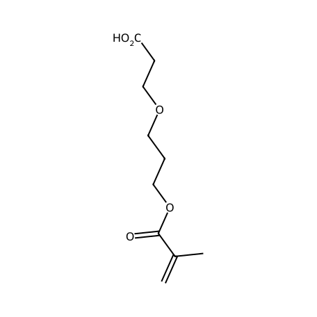 C=C(C)C(=O)OCCCOCCC(=O)O